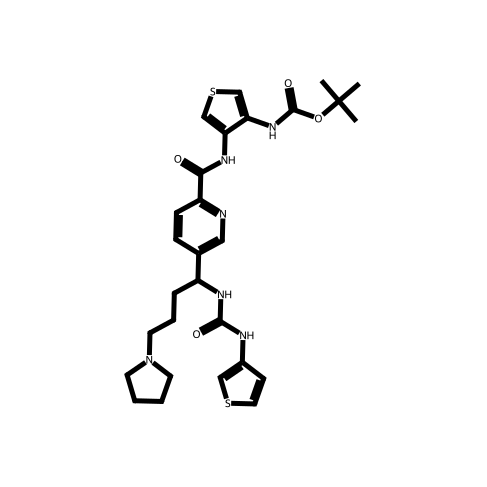 CC(C)(C)OC(=O)Nc1cscc1NC(=O)c1ccc(C(CCCN2CCCC2)NC(=O)Nc2ccsc2)cn1